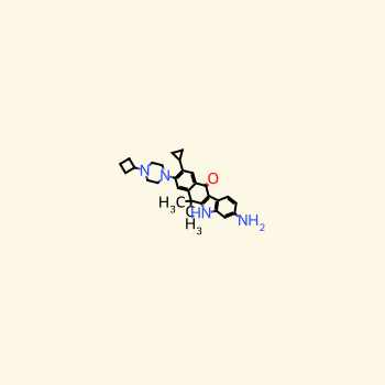 CC1(C)c2cc(N3CCN(C4CCC4)CC3)c(C3CC3)cc2C(=O)c2c1[nH]c1cc(N)ccc21